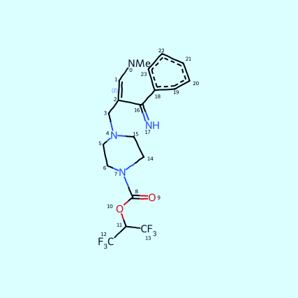 CN/C=C(/CN1CCN(C(=O)OC(C(F)(F)F)C(F)(F)F)CC1)C(=N)c1ccccc1